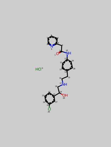 Cl.O=C(Cc1ccccn1)Nc1ccc(CCNCC(O)c2cccc(Cl)c2)cc1